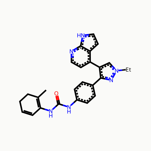 CCn1cc(-c2ccnc3[nH]ccc23)c(-c2ccc(NC(=O)NC3=C(C)CCC=C3)cc2)n1